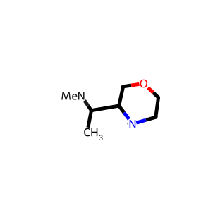 CNC(C)C1COCC[N]1